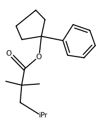 CC(C)CC(C)(C)C(=O)OC1(c2ccccc2)CCCC1